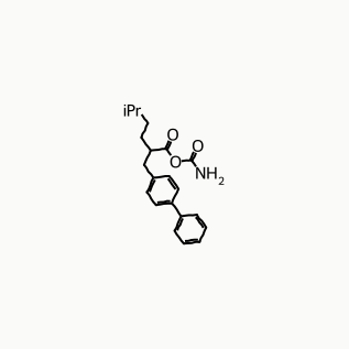 CC(C)CCC(Cc1ccc(-c2ccccc2)cc1)C(=O)OC(N)=O